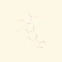 O=C(O)c1ccc2c(O)c(O)c(C(=O)O)cc2c1